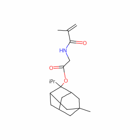 C=C(C)C(=O)NCC(=O)OC1(C(C)C)C2CC3CC1CC(C)(C3)C2